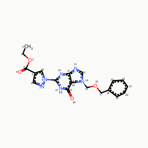 CCOC(=O)c1cnn(-c2nc3ncn(COCc4ccccc4)c3c(=O)[nH]2)c1